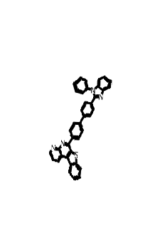 c1ccc(-n2c(-c3ccc(-c4ccc(-c5nc6ncccc6c6c5sc5ccccc56)cc4)cc3)nc3ccccc32)cc1